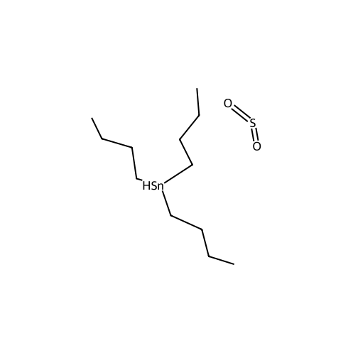 CCC[CH2][SnH]([CH2]CCC)[CH2]CCC.O=S=O